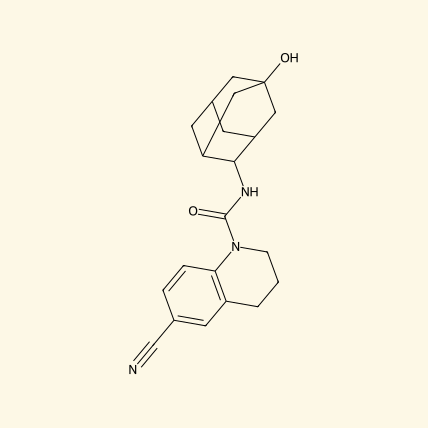 N#Cc1ccc2c(c1)CCCN2C(=O)NC1C2CC3CC1CC(O)(C3)C2